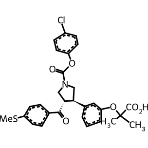 CSc1ccc(C(=O)[C@@H]2CN(C(=O)Oc3ccc(Cl)cc3)C[C@H]2c2cccc(OC(C)(C)C(=O)O)c2)cc1